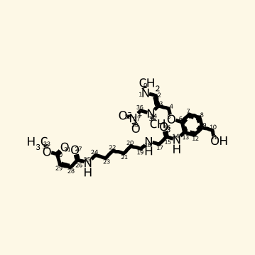 C=N/C=C(/COc1ccc(CO)cc1NC(=O)CNCCCCCCNC(=O)/C=C\C(=O)OC)N(C)C[N+](=O)[O-]